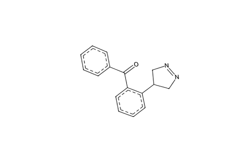 O=C(c1ccccc1)c1ccccc1C1CN=NC1